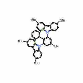 CC(C)(C)c1ccc2c(c1)c1cc(C(C)(C)C)ccc1n2-c1cc(C#N)cc(-n2c3ccc(C(C)(C)C)cc3c3cc(C(C)(C)C)ccc32)c1-c1c(F)cccc1F